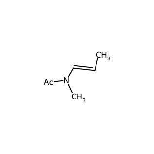 CC=CN(C)C(C)=O